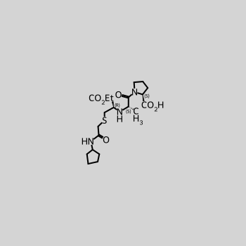 CCOC(=O)[C@H](CSCC(=O)NC1CCCC1)N[C@@H](C)C(=O)N1CCC[C@H]1C(=O)O